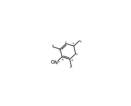 CC1=CC(C)CC(C)=C1N=O